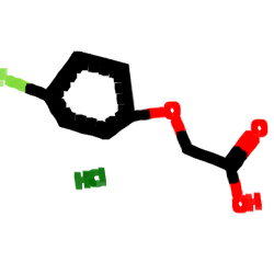 Cl.O=C(O)COc1ccc(F)cc1